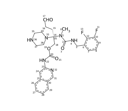 CN(C(=O)NCc1cccc(F)c1F)[C@@](CCC=O)(COC(=O)Nc1cc2ccccc2cn1)N1CCNCC1